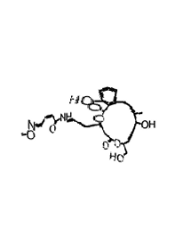 CO/N=C/C=C\C(=O)N/C=C/CC1CC(=O)OC(CO)/C=C\C(O)/C(C)=C\Cc2cccc(O)c2C(=O)O1